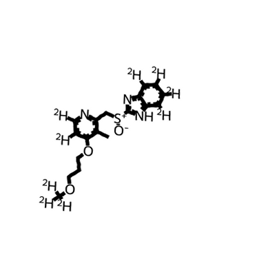 [2H]c1nc(C[S+]([O-])c2nc3c([2H])c([2H])c([2H])c([2H])c3[nH]2)c(C)c(OCCCOC([2H])([2H])[2H])c1[2H]